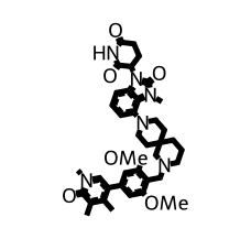 COc1cc(-c2cn(C)c(=O)c(C)c2C)cc(OC)c1CN1CCCC2(CCN(c3cccc4c3n(C)c(=O)n4C3CCC(=O)NC3=O)CC2)C1